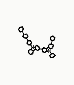 c1ccc(-c2ccc(-c3ccc(-n4c5ccccc5c5cc(-c6ccc7c(c6)c6cc(-c8ccccc8)ccc6n7-c6ccccc6)ccc54)cc3)cc2)cc1